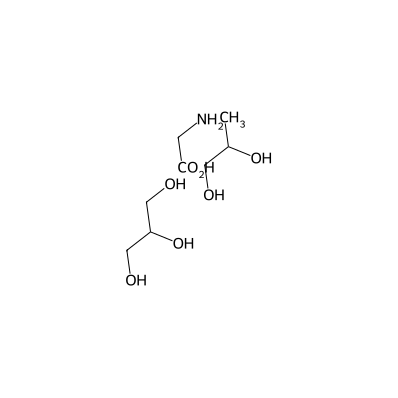 CC(O)CO.NCC(=O)O.OCC(O)CO